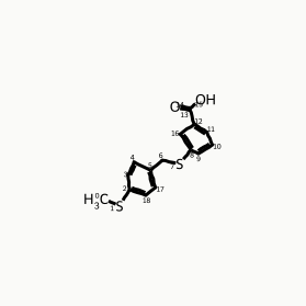 CSc1ccc(CSc2cccc(C(=O)O)c2)cc1